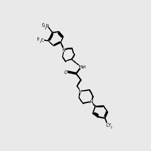 O=C(CCN1CCN(c2ccc(C(F)(F)F)cc2)CC1)NC1CCN(c2ccc([N+](=O)[O-])c(C(F)(F)F)c2)CC1